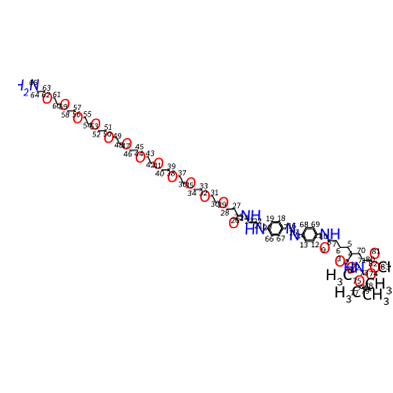 COC(=O)[C@@H](CCCC(=O)Nc1ccc(/N=N/c2ccc(NCCNC(=O)CCOCCOCCOCCOCCOCCOCCOCCOCCOCCOCCOCCOCCN)cc2)cc1)C[C@H](NC(=O)OC(C)(C)C)C(=O)OC